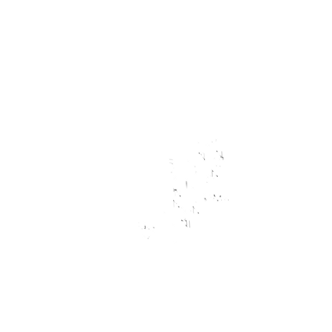 COc1nc(N[C@H]2CC[C@@](C)(O)CC2)nn2cc(F)c(-c3cnc4nccn4c3)c12